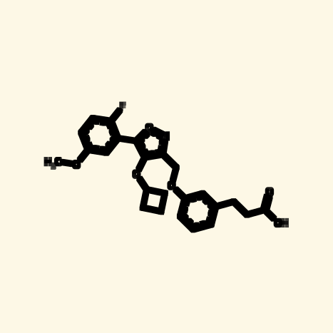 COc1ccc(F)c(-c2onc(COc3cccc(CCC(=O)O)c3)c2OC2CCC2)c1